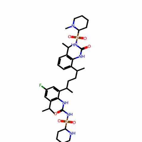 CC(C)c1cc(F)cc(C(C)CCC(C)c2cccc(C(C)C)c2NC(=O)NS(=O)(=O)C2CCCCN2C)c1NC(=O)NS(=O)(=O)C1CCCCN1